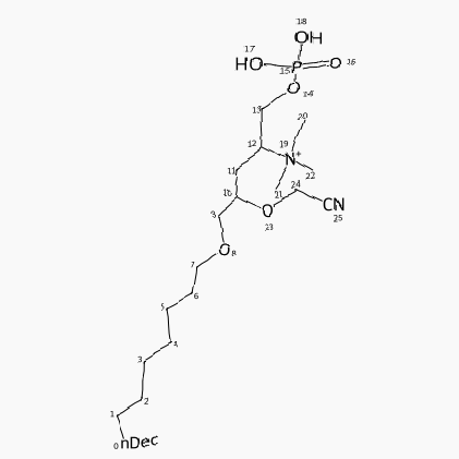 CCCCCCCCCCCCCCCCCOCC(CC(COP(=O)(O)O)[N+](C)(C)C)OCC#N